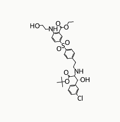 CCOC(=O)c1cc(S(=O)(=O)c2ccc(CCNC(C(=O)OC(C)(C)C)[C@H](O)c3cccc(Cl)c3)cc2)ccc1NCCO